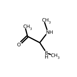 CBC(NC)C(C)=O